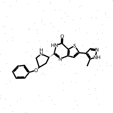 Cc1[nH]ncc1-c1cc2nc([C@@H]3C[C@@H](Oc4ccccc4)CN3)[nH]c(=O)c2s1